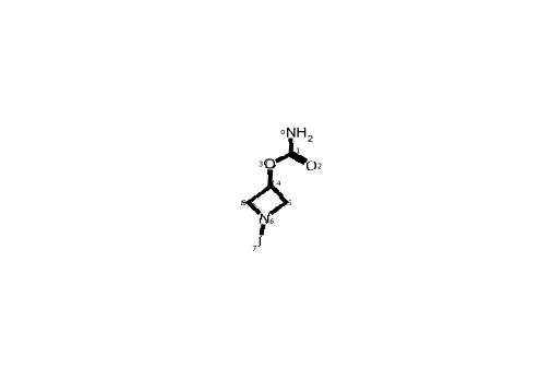 NC(=O)OC1CN(I)C1